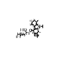 CC(C)NCC(O)COc1cc([18F])cc2[nH]c3ccccc3c12